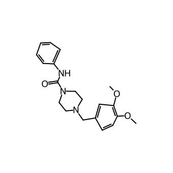 COc1ccc(CN2CCN(C(=O)Nc3ccccc3)CC2)cc1OC